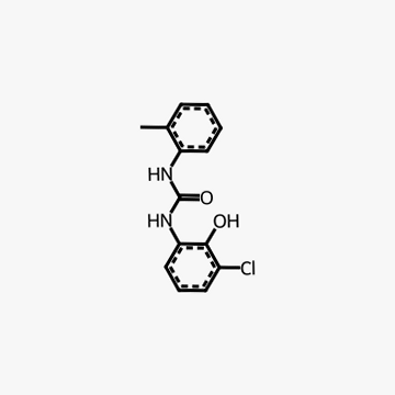 Cc1ccccc1NC(=O)Nc1cccc(Cl)c1O